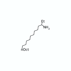 CCCCCCCCCCCCCCCCCC(N)CC